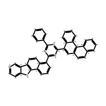 c1ccc(-c2nc(-c3cccc4c3ccc3c5cnccc5sc43)nc(-c3cc4ccc5ccccc5c4c4ccccc34)n2)cc1